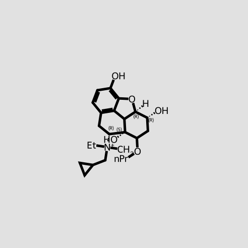 CCCOC1C[C@@H](O)[C@@H]2Oc3c(O)ccc4c3C2[C@]1(O)[C@H]([N+](C)(CC)CC1CC1)C4